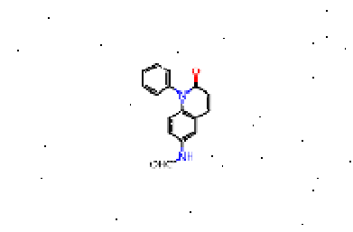 O=CNc1ccc2c(ccc(=O)n2-c2ccccc2)c1